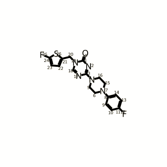 O=c1nc(N2CCN(c3ccc(F)cc3)CC2)ncn1Cc1ccc(F)s1